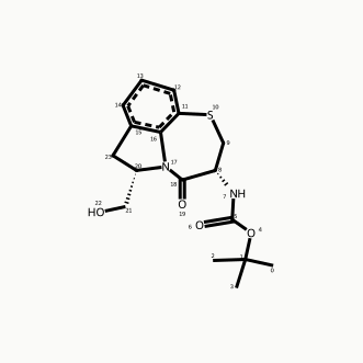 CC(C)(C)OC(=O)N[C@H]1CSc2cccc3c2N(C1=O)[C@H](CO)C3